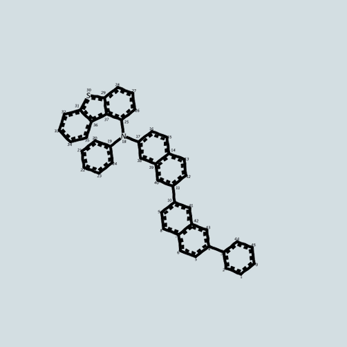 c1ccc(-c2ccc3ccc(-c4ccc5ccc(N(c6ccccc6)c6cccc7sc8ccccc8c67)cc5c4)cc3c2)cc1